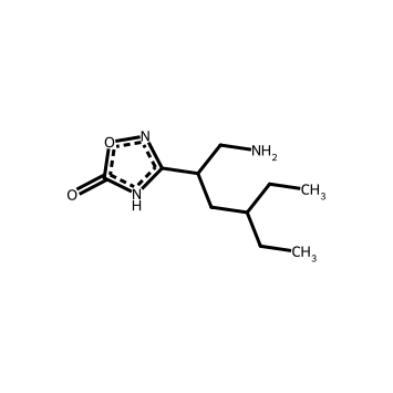 CCC(CC)CC(CN)c1noc(=O)[nH]1